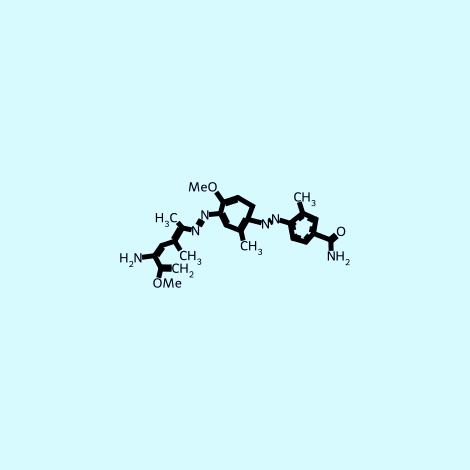 C=C(OC)/C(N)=C\C(C)=C(/C)N=NC1=CC(C)=C(N=Nc2ccc(C(N)=O)cc2C)CC=C1OC